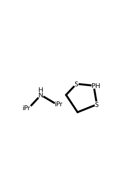 C1CSPS1.CC(C)NC(C)C